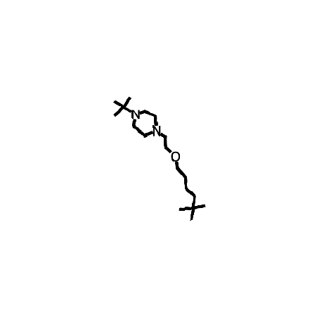 CC(C)(C)CCCCOCCN1CCN(C(C)(C)C)CC1